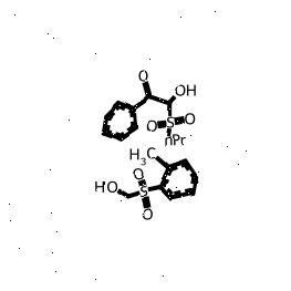 CCCS(=O)(=O)C(O)C(=O)c1ccccc1.Cc1ccccc1S(=O)(=O)CO